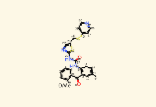 COc1ccccc1C(=O)c1cc(C)ccc1NC(=O)Nc1ncc(CSc2ccncc2)s1